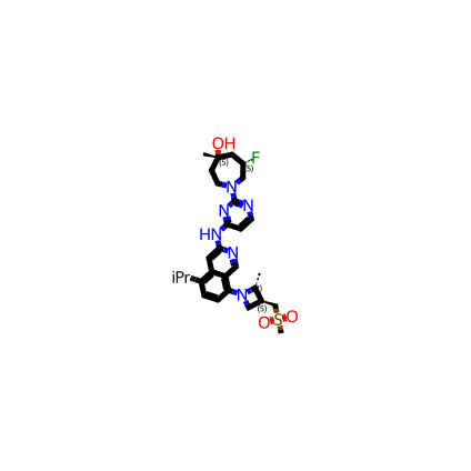 CC(C)c1ccc(N2C[C@H](CS(C)(=O)=O)[C@H]2C)c2cnc(Nc3ccnc(N4CC[C@](C)(O)C[C@H](F)C4)n3)cc12